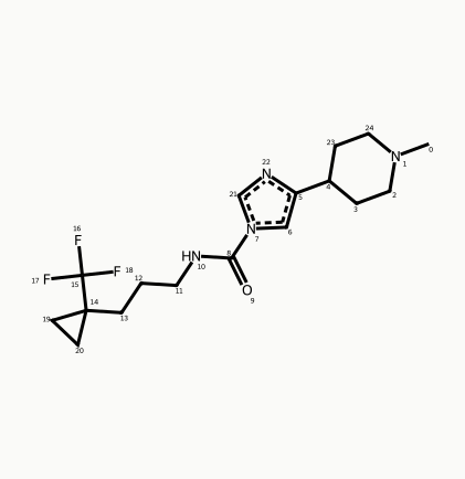 CN1CCC(c2cn(C(=O)NCCCC3(C(F)(F)F)CC3)cn2)CC1